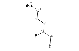 CCC(C)OCCC(F)CF